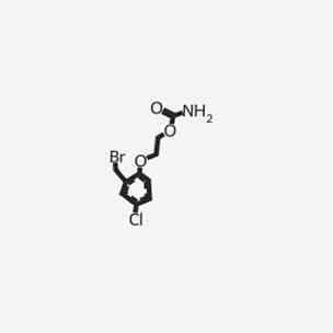 NC(=O)OCCOc1ccc(Cl)cc1CBr